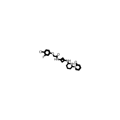 O=C(COc1ccc(Cl)c(F)c1)NC12CC(NC3CCCC(n4ccccc4=O)N3)(C1)C2